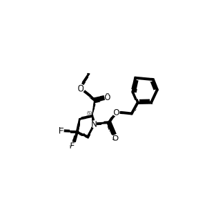 COC(=O)[C@@H]1CC(F)(F)CN1C(=O)OCc1ccccc1